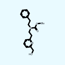 CC(C)(C)OC(=O)N(CCc1ccccc1)CCc1cccc(CO)n1